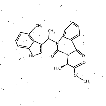 COC(=O)[C@@H](C)n1c(=O)c2ccccc2n(C(C)c2c[nH]c3cccc(C)c23)c1=O